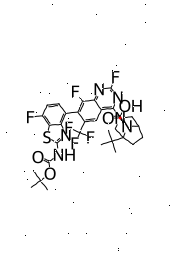 CC(C)(C)OC(=O)Nc1nc2c(-c3c(C(F)(F)F)cc4c(N5CC6CCC(C(C)(C)C)(C5)N6C(=O)O)nc(F)nc4c3F)ccc(F)c2s1